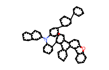 c1ccc(-c2ccc(-c3ccc(N(c4ccc5ccccc5c4)c4ccccc4-c4cccc5c6ccc7oc8ccccc8c7c6c6ccccc6c45)cc3)cc2)cc1